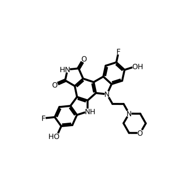 O=C1NC(=O)c2c1c1c3cc(F)c(O)cc3[nH]c1c1c2c2cc(F)c(O)cc2n1CCN1CCOCC1